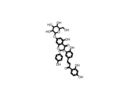 O=C(/C=C/c1ccc(O)c([C@@H]2C(=O)c3c(O)cc(OC4OC(CO)C(O)C(O)C4O)cc3O[C@H]2c2ccc(O)cc2)c1)c1ccc(O)cc1O